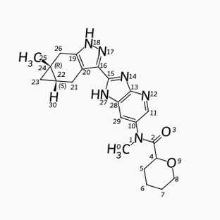 CN(C(=O)C1CCCCO1)c1cnc2nc(-c3n[nH]c4c3C[C@@H]3C[C@]3(C)C4)[nH]c2c1